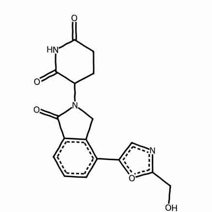 O=C1CCC(N2Cc3c(cccc3-c3cnc(CO)o3)C2=O)C(=O)N1